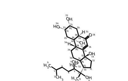 CC(C)CCC(O)C(C)(O)[C@H]1CC[C@@]2(O)C3=CC(=O)[C@@H]4C[C@@H](O)[C@@H](O)C[C@]4(C)[C@H]3CC[C@]12C